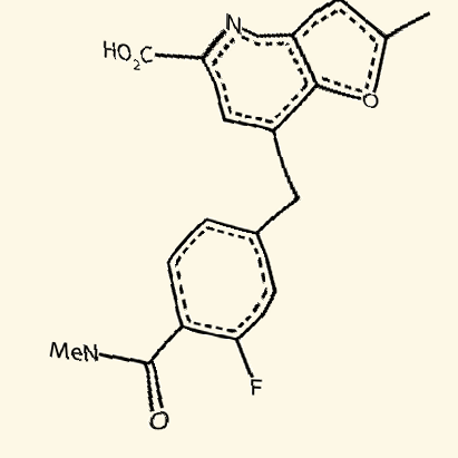 CNC(=O)c1ccc(Cc2cc(C(=O)O)nc3cc(C)oc23)cc1F